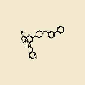 Brc1cnn2c(NCc3cccnc3)cc(C3CCN(Cc4cccc(-c5ccccc5)c4)CC3)nc12